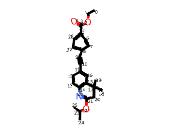 CCOC(=O)c1ccc(C#Cc2ccc3c(c2)C(C)(C)CC(OC(C)C)=N3)cc1